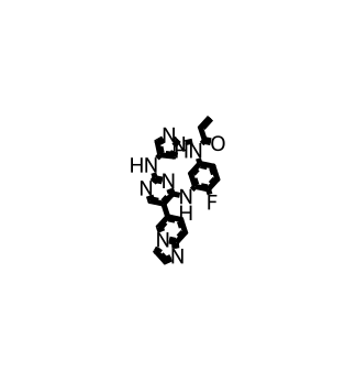 C=CC(=O)Nc1ccc(F)c(Nc2nc(Nc3cnn(C)c3)ncc2-c2ccc3nccn3c2)c1